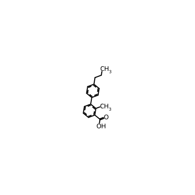 CCCc1ccc(-c2cccc(C(=O)O)c2C)cc1